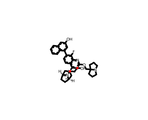 OCCCN1[C@@H]2CC[C@H]1CN(c1nc(OCC34CCCN3CCC4)nc3c(F)c(-c4cc(O)cc5ccccc45)ccc13)C2